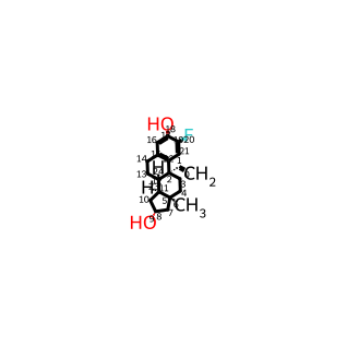 C=C[C@]12CC[C@]3(C)C[C@H](O)C[C@H]3[C@@H]1CCc1cc(O)c(F)cc12